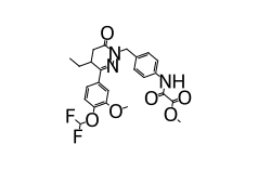 CCC1CC(=O)N(Cc2ccc(NC(=O)C(=O)OC)cc2)N=C1c1ccc(OC(F)F)c(OC)c1